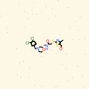 Cc1nc(SCC(=O)NC[C@H]2CN(Cc3ccc(Cl)c(Cl)c3)CCO2)sc1C=O